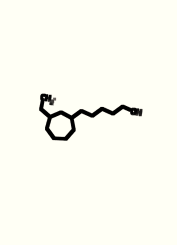 [CH2]CC1CCCCC(CCCCCO)C1